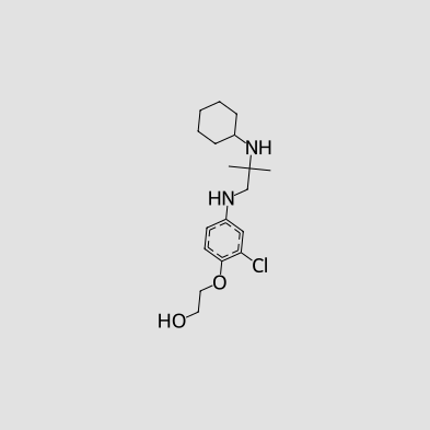 CC(C)(CNc1ccc(OCCO)c(Cl)c1)NC1CCCCC1